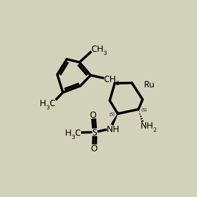 CS(=O)(=O)N[C@H]1CCCC[C@@H]1N.Cc1ccc(C)c(C)c1.[Ru]